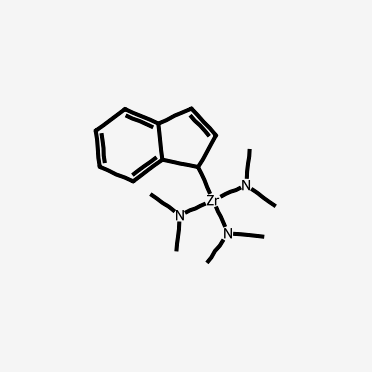 C[N](C)[Zr]([CH]1C=Cc2ccccc21)([N](C)C)[N](C)C